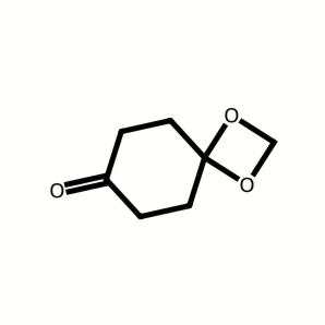 O=C1CCC2(CC1)OCO2